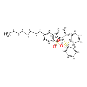 CCCCCCCCc1ccc(S(=O)(=O)OS(c2ccccc2)(c2ccccc2)c2ccccc2)cc1